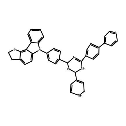 C1=CC(C2NC(c3ccc(-c4ccncc4)cc3)=NC(c3ccc(-n4c5ccccc5c5c6c(ccc54)CCS6)cc3)N2)=CCN1